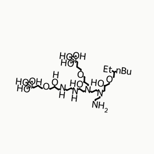 CCCCC(CC)COCC(O)CN(CCN)CCN(CCNCCNCC(O)COCCC[Si](O)(O)O)CC(O)COCCC[Si](O)(O)O